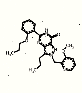 CCCOc1ccccc1-c1nc2c(CCC)n(Cc3ncccc3OC)nc2c(=O)[nH]1